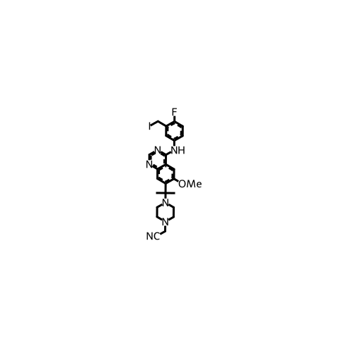 COc1cc2c(Nc3ccc(F)c(CI)c3)ncnc2cc1C(C)(C)N1CCN(CC#N)CC1